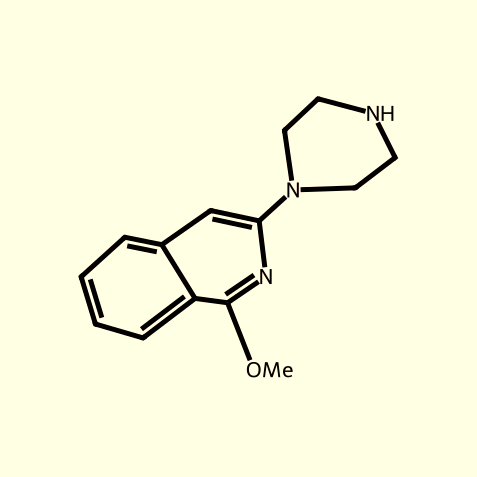 COc1nc(N2CCNCC2)cc2ccccc12